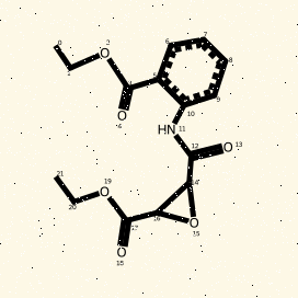 CCOC(=O)c1ccccc1NC(=O)C1OC1C(=O)OCC